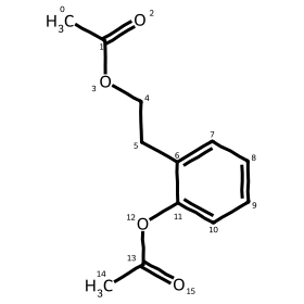 CC(=O)OCCc1ccccc1OC(C)=O